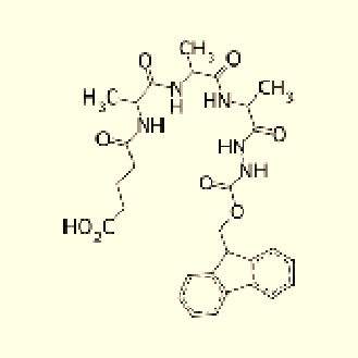 CC(NC(=O)CCCC(=O)O)C(=O)NC(C)C(=O)NC(C)C(=O)NNC(=O)OCC1c2ccccc2-c2ccccc21